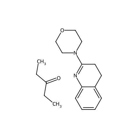 CCC(=O)CC.c1ccc2c(c1)CCC(N1CCOCC1)=N2